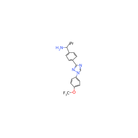 CC(C)C(N)c1ccc(-c2ncn(-c3ccc(OC(F)(F)F)cc3)n2)cc1